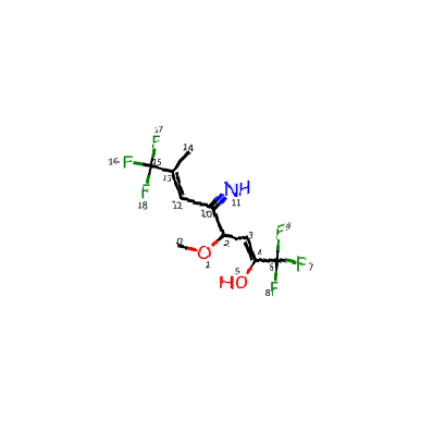 COC(/C=C(\O)C(F)(F)F)C(=N)/C=C(\C)C(F)(F)F